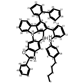 CCCCCc1ccc(Nc2ccccc2-c2cc(-c3ccccc3-c3ccccc3)c3c4ccccc4n4c3c2Bc2cc3nc(-c5ccccc5)oc3cc2-4)cc1